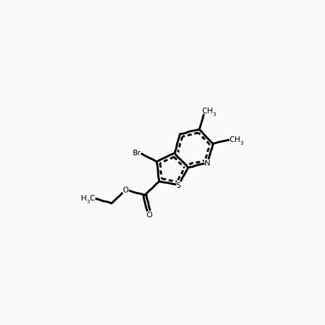 CCOC(=O)c1sc2nc(C)c(C)cc2c1Br